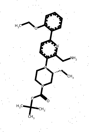 CCOc1ccccc1-c1ccc(N2CCN(C(=O)OC(C)(C)C)C[C@H]2CC)c(CN)n1